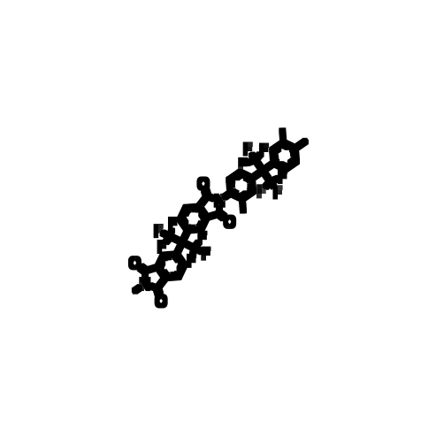 Cc1ccc(C(c2ccc(N3C(=O)c4ccc(C(c5ccc6c(c5)C(=O)N(C)C6=O)(C(F)(F)F)C(F)(F)F)cc4C3=O)c(C)c2)(C(F)(F)F)C(F)(F)F)cc1C